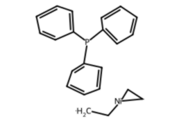 [CH2][CH2][Ni]1[CH2][CH2]1.c1ccc(P(c2ccccc2)c2ccccc2)cc1